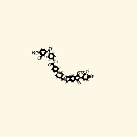 CCN(c1ccc(C#N)c(Cl)c1)[C@H]1CC[C@H](NC(=O)c2ccc(N3CCC(CN4Cc5cc6c(cc5C4)C(=O)N([C@H]4CCC(=O)NC4=O)C6=O)CC3)cc2)CC1